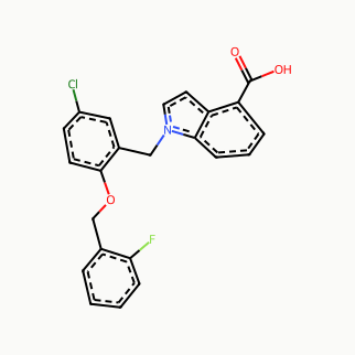 O=C(O)c1cccc2c1ccn2Cc1cc(Cl)ccc1OCc1ccccc1F